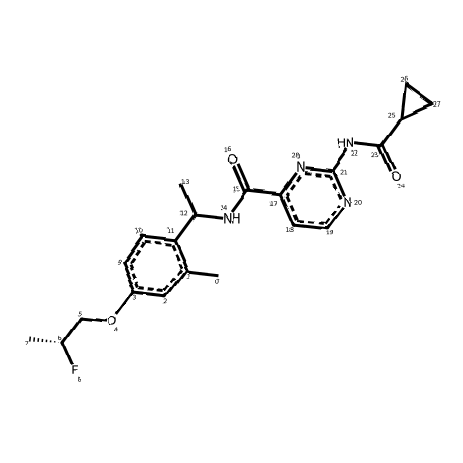 Cc1cc(OC[C@@H](C)F)ccc1C(C)NC(=O)c1ccnc(NC(=O)C2CC2)n1